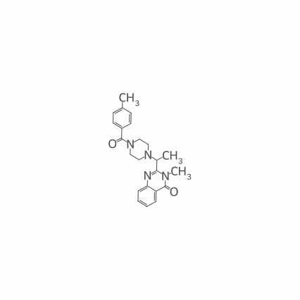 Cc1ccc(C(=O)N2CCN(C(C)c3nc4ccccc4c(=O)n3C)CC2)cc1